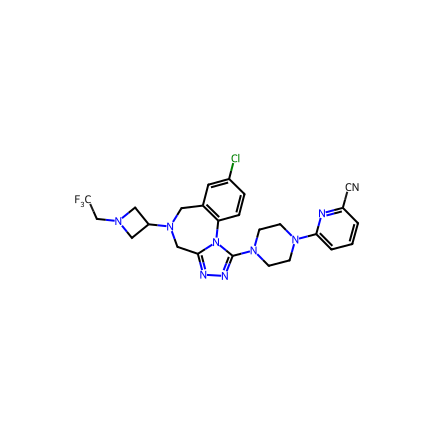 N#Cc1cccc(N2CCN(c3nnc4n3-c3ccc(Cl)cc3CN(C3CN(CC(F)(F)F)C3)C4)CC2)n1